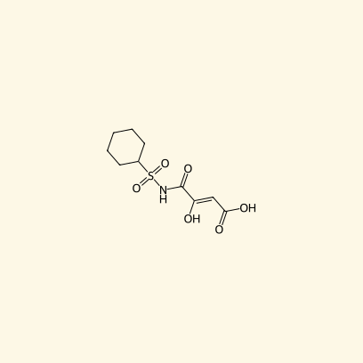 O=C(O)C=C(O)C(=O)NS(=O)(=O)C1CCCCC1